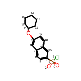 O=S(=O)(Cl)c1ccc2cc(OC3CCCCC3)ccc2c1